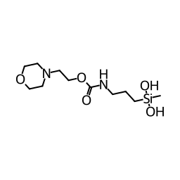 C[Si](O)(O)CCCNC(=O)OCCN1CCOCC1